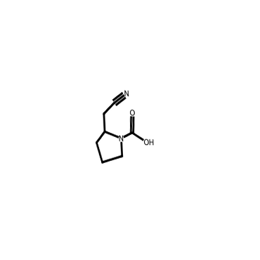 N#CCC1CCCN1C(=O)O